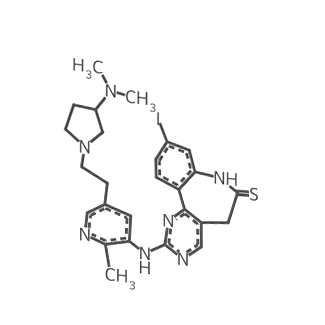 Cc1ncc(CCN2CCC(N(C)C)C2)cc1Nc1ncc2c(n1)-c1ccc(I)cc1NC(=S)C2